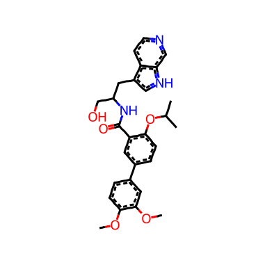 COc1ccc(-c2ccc(OC(C)C)c(C(=O)NC(CO)Cc3c[nH]c4cnccc34)c2)cc1OC